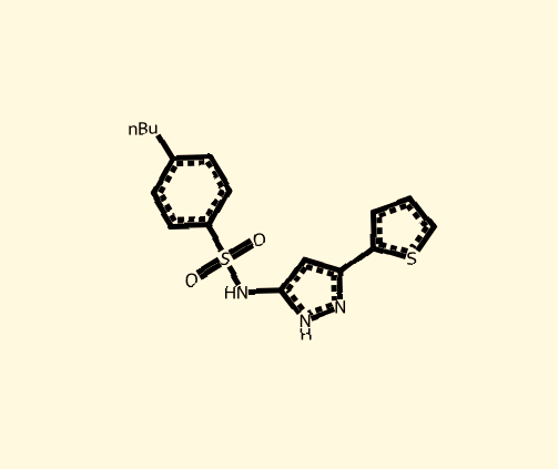 CCCCc1ccc(S(=O)(=O)Nc2cc(-c3cccs3)n[nH]2)cc1